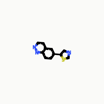 c1cc2cc(-c3cncs3)ccc2nn1